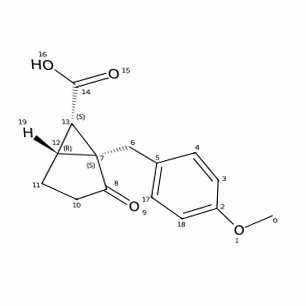 COc1ccc(C[C@]23C(=O)CC[C@@H]2[C@@H]3C(=O)O)cc1